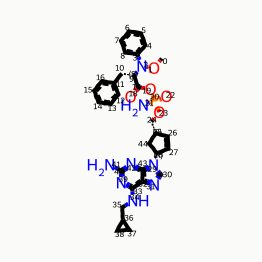 CON(c1ccccc1)[C@@H](Cc1ccccc1)C(=O)OP(N)(=O)OC[C@@H]1C=C[C@H](n2cnc3c(NCC4CC4)nc(N)nc32)C1